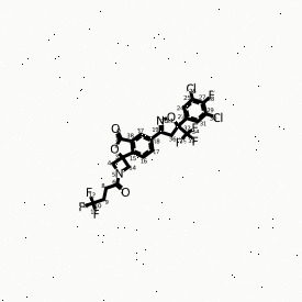 O=C1OC2(CN(C(=O)CCC(F)(F)F)C2)c2ccc(C3=NOC(c4cc(Cl)c(F)c(Cl)c4)(C(F)(F)F)C3)cc21